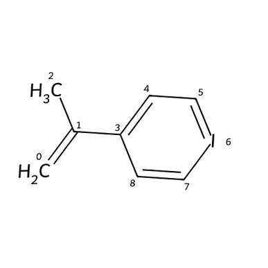 C=C(C)C1=CC=IC=C1